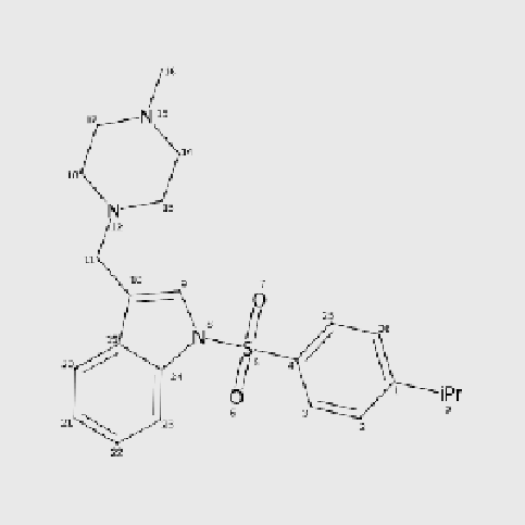 CC(C)c1ccc(S(=O)(=O)n2cc(CN3CCN(C)CC3)c3ccccc32)cc1